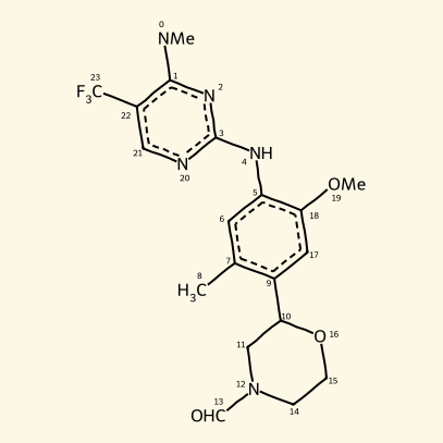 CNc1nc(Nc2cc(C)c(C3CN(C=O)CCO3)cc2OC)ncc1C(F)(F)F